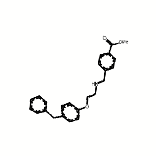 COC(=O)c1ccc(CNCCOc2ccc(Cc3ccccc3)cc2)cc1